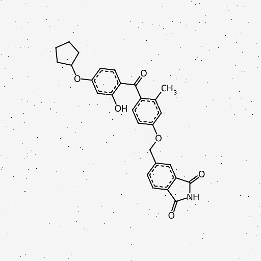 Cc1[c]c(OCc2ccc3c(c2)C(=O)NC3=O)ccc1C(=O)c1ccc(OC2CCCC2)cc1O